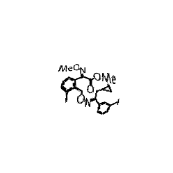 CO/N=C(/C(=O)OC)c1cccc(C)c1CO/N=C(\CC1CC1)c1cccc(I)c1